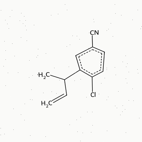 [CH2]C(C=C)c1cc(C#N)ccc1Cl